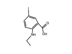 CCNc1ccc(I)cc1C(=O)O